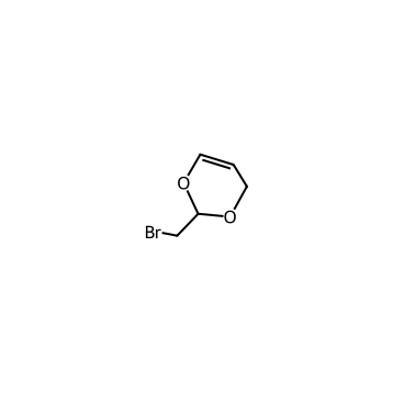 BrCC1OC=CCO1